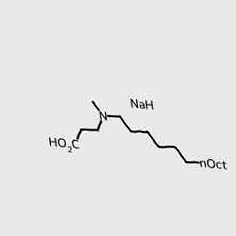 CCCCCCCCCCCCCCN(C)CCC(=O)O.[NaH]